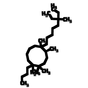 CCCCC1(C)CCCCC(C)(CCCCCC(C)(CC)CC)[C@@H](C)CC[C@]1(C)N